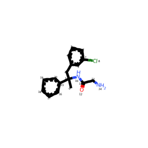 CC(Cc1cccc(Cl)c1)(NC(=O)CN)c1ccccc1